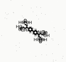 O=P(O)(O)CCC(CCP(=O)(O)O)c1ccc(-c2ccc(C(CCP(=O)(O)O)CCP(=O)(O)O)cc2)cc1